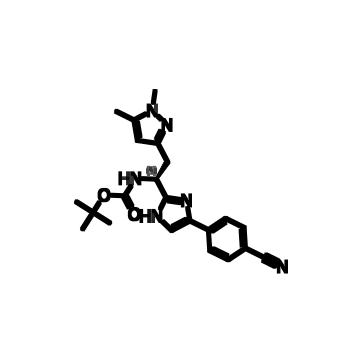 Cc1cc(C[C@H](NC(=O)OC(C)(C)C)c2nc(-c3ccc(C#N)cc3)c[nH]2)nn1C